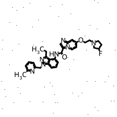 CCc1nn(Cc2cccc(C)n2)c2cccc(NC(=O)c3cnc4cc(OCCN5CCC(F)C5)ccn34)c12